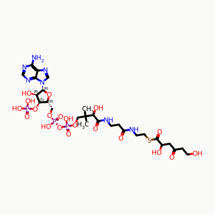 CC(C)(COP(=O)(O)OP(=O)(O)OC[C@H]1O[C@@H](n2cnc3c(N)ncnc32)[C@H](O)[C@@H]1OP(=O)(O)O)C(O)C(=O)NCCC(=O)NCCSC(=O)C(O)CC(=O)CCO